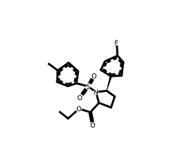 CCOC(=O)C1CC[C@H](c2ccc(F)cc2)N1S(=O)(=O)c1ccc(C)cc1